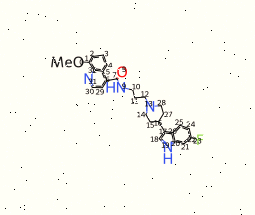 COc1cccc2c(C(=O)NCCCN3CCC(c4c[nH]c5cc(F)ccc45)CC3)ccnc12